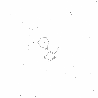 Cn1cnc(Cl)c1N1CCCCC1